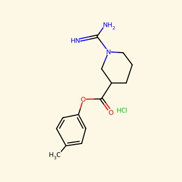 Cc1ccc(OC(=O)C2CCCN(C(=N)N)C2)cc1.Cl